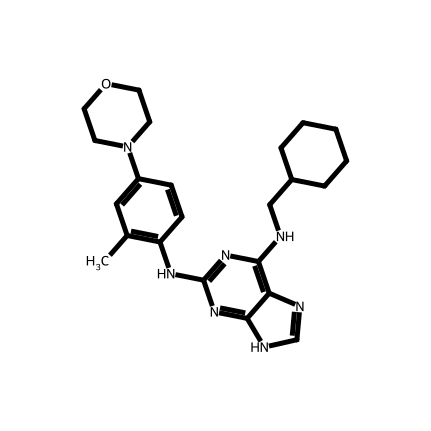 Cc1cc(N2CCOCC2)ccc1Nc1nc(NCC2CCCCC2)c2nc[nH]c2n1